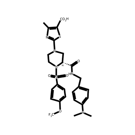 Cc1nc(N2CCN(S(=O)(=O)c3ccc(OC(F)(F)F)cc3)[C@@H](C(=O)NCc3ccc(N(C)C)cc3)C2)sc1C(=O)O